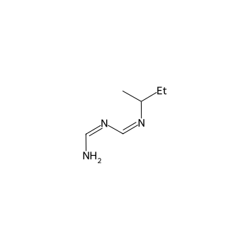 CCC(C)/N=C\N=C/N